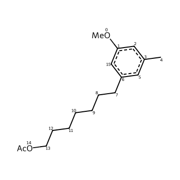 COc1cc(C)cc(CCCCCCCOC(C)=O)c1